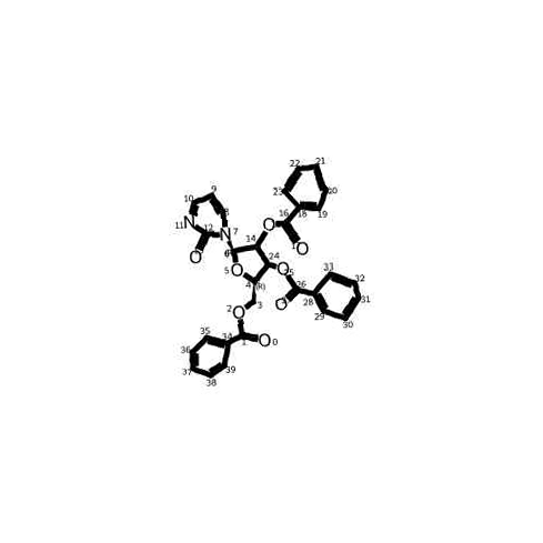 O=C(OC[C@H]1O[C@@H](n2cccnc2=O)C(OC(=O)c2ccccc2)C1OC(=O)c1ccccc1)c1ccccc1